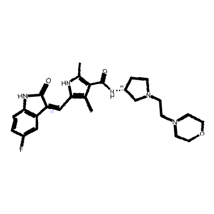 Cc1[nH]c(/C=C2\C(=O)Nc3ccc(F)cc32)c(C)c1C(=O)N[C@@H]1CCN(CCN2CCOCC2)C1